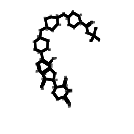 CC(C)(C)OC(=O)N1CCC(CC2CCN(CC3CCN(c4ccc5c(c4F)CN(C4CCC(=O)NC4=O)C5=O)CC3)CC2)CC1